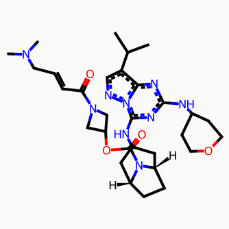 CC(C)c1cnn2c(NC3C[C@H]4CC[C@@H](C3)N4C(=O)OC3CN(C(=O)/C=C/CN(C)C)C3)nc(NC3CCOCC3)nc12